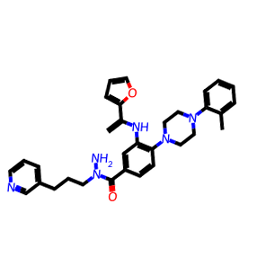 C=C(Nc1cc(C(=O)N(N)CCCc2cccnc2)ccc1N1CCN(c2ccccc2C)CC1)c1ccco1